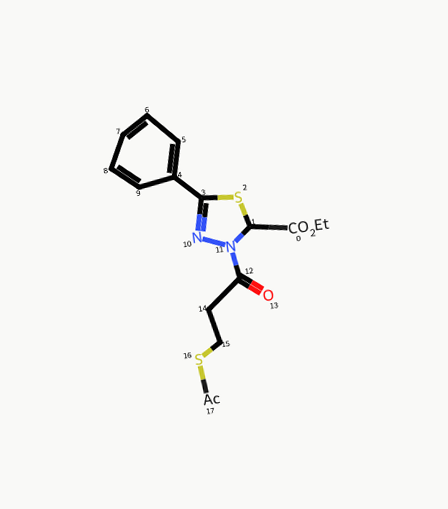 CCOC(=O)C1SC(c2ccccc2)=NN1C(=O)CCSC(C)=O